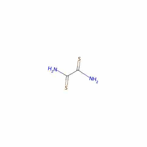 NC(=S)C(N)=S